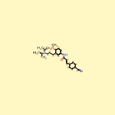 COc1ccc(NC(=O)C=Cc2ccc(C#N)cc2)cc1CCCN(C(C)C)C(C)C